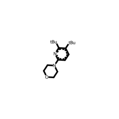 CC(C)(C)c1ccc(N2CCOCC2)nc1C(C)(C)C